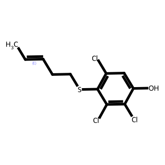 C/C=C/CCSc1c(Cl)cc(O)c(Cl)c1Cl